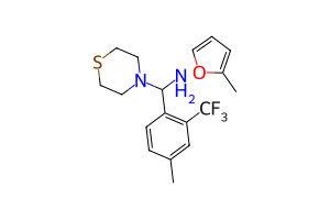 Cc1ccc(C(N)N2CCSCC2)c(C(F)(F)F)c1.Cc1ccco1